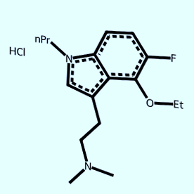 CCCn1cc(CCN(C)C)c2c(OCC)c(F)ccc21.Cl